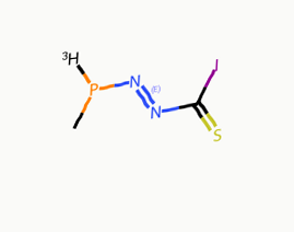 [3H]P(C)/N=N/C(=S)I